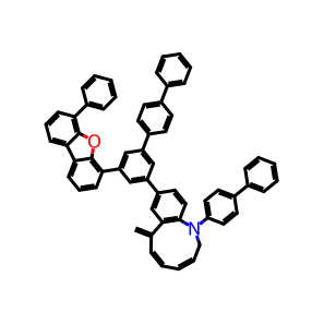 C=C1/C=C\C=C/CN(c2ccc(-c3ccccc3)cc2)c2ccc(-c3cc(-c4ccc(-c5ccccc5)cc4)cc(-c4cccc5c4oc4c(-c6ccccc6)cccc45)c3)cc21